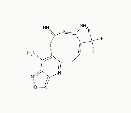 N=C1Cc2c(nc3nonc3c2N)C/C=C(C(F)(F)F)\C(N)=N/1